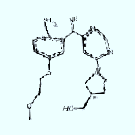 COCCOc1ccc(N)c(C(=N)c2cc(N3CC[C@@H](CO)C3)ncn2)c1